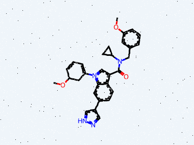 COc1cccc(CN(C(=O)c2cn(C3=CC=CC(OC)C3)c3cc(-c4cn[nH]c4)ccc23)C2CC2)c1